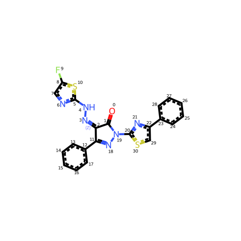 O=C1/C(=N\Nc2ncc(F)s2)C(c2ccccc2)=NN1c1nc(-c2ccccc2)cs1